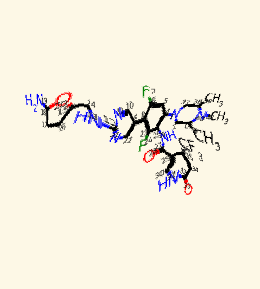 CC1CN(c2cc(F)c(-c3cnc(NCC4CCC(N)O4)nc3)c(F)c2NC(=O)c2c[nH]c(=O)cc2C(F)(F)F)CC(C)N1C